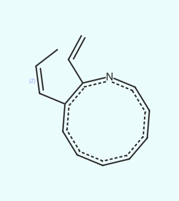 C=Cc1ncccccccc1/C=C\C